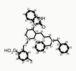 CN1CCC(n2c(=O)[nH]c3ccccc32)C(CCCN(Cc2ccccc2)Cc2cccnc2)C1.Cc1ccc(C(=O)O)c(C)c1